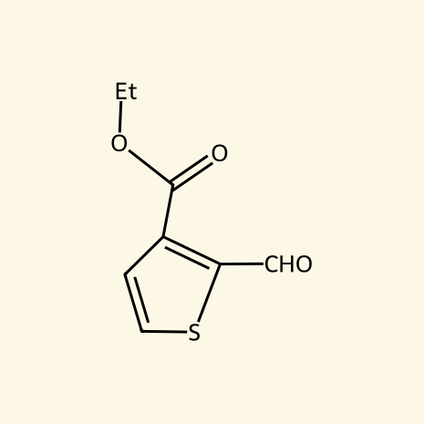 CCOC(=O)c1ccsc1C=O